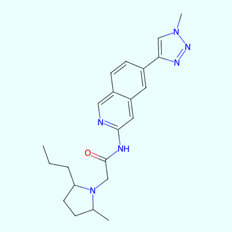 CCCC1CCC(C)N1CC(=O)Nc1cc2cc(-c3cn(C)nn3)ccc2cn1